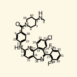 CNC1CCN(C(=O)c2ccc(Nc3ccc4c(n3)-c3ccc(Cl)cc3C(c3c(F)cccc3F)=NC4)cc2)CC1